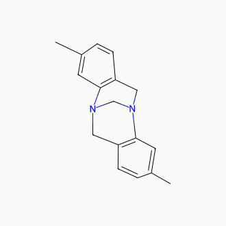 Cc1ccc2c(c1)N1Cc3ccc(C)cc3N(C2)C1